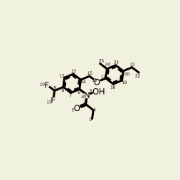 CCC(=O)N(O)c1cc(C(F)F)ccc1COc1ccc(CC)cc1C